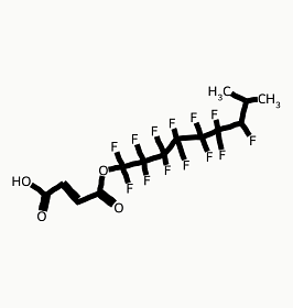 CC(C)C(F)C(F)(F)C(F)(F)C(F)(F)C(F)(F)C(F)(F)C(F)(F)OC(=O)/C=C/C(=O)O